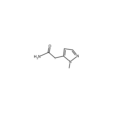 Cn1nccc1[CH]C(N)=O